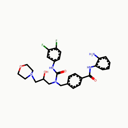 Nc1ccccc1NC(=O)c1ccc(CN(CC(O)CN2CCOCC2)C(=O)Nc2ccc(F)c(F)c2)cc1